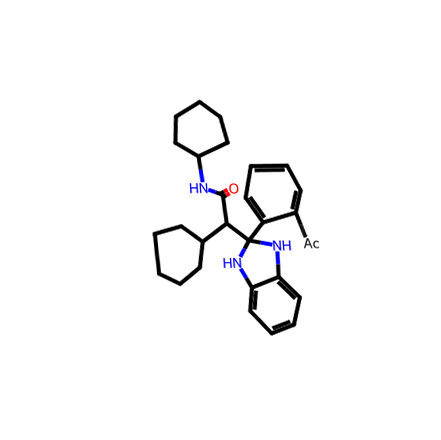 CC(=O)c1ccccc1C1(C(C(=O)NC2CCCCC2)C2CCCCC2)Nc2ccccc2N1